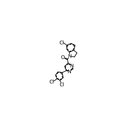 O=C(c1cc(-c2ccc(Cl)c(Cl)c2)ncn1)N1CCc2ccc(Cl)cc21